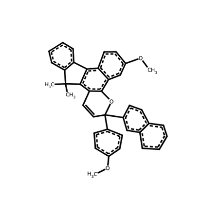 COc1ccc(C2(c3ccc4ccccc4c3)C=Cc3c4c(c5ccc(OC)cc5c3O2)-c2ccccc2C4(C)C)cc1